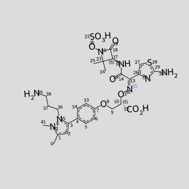 Cc1cc(-c2ccc(OC[C@H](O/N=C(\C(=O)N[C@@H]3C(=O)N(OS(=O)(=O)O)C3(C)C)c3csc(N)n3)C(=O)O)cc2)n(CCCN)[n+]1C